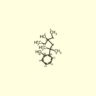 CCC(O)(CC)CC(C)(C)c1ccccc1O